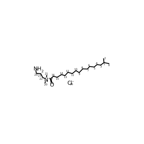 CC(C)CCCCCCCCCCCCCCC(=O)[N+](C)(C)CCCN.[Cl-]